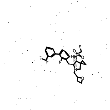 O=S(=O)(CF)N[C@@H]1[C@H](Cc2cccc(-c3cccc(C(F)F)c3)c2F)N(CC2CCO2)CC12CC2